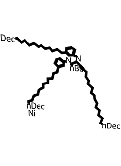 CCCCCCCCCCCCCCCCCCCCCCCCC#CC(=Nc1cccc(CCCCCCCCCCCCCCCCCCCCCC)c1)C(CCCC)=Nc1cccc(CCCCCCCCCCCCCCCCCCCCCC)c1.[Ni]